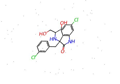 O=C1Nc2cc(Cl)ccc2C1(Cc1cccc(Cl)c1)NC(CO)CO